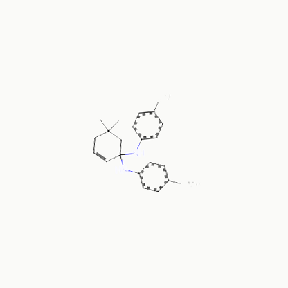 COc1ccc(NC2(Nc3ccc(OC)cc3)C=[C]CC(C)(C)C2)cc1